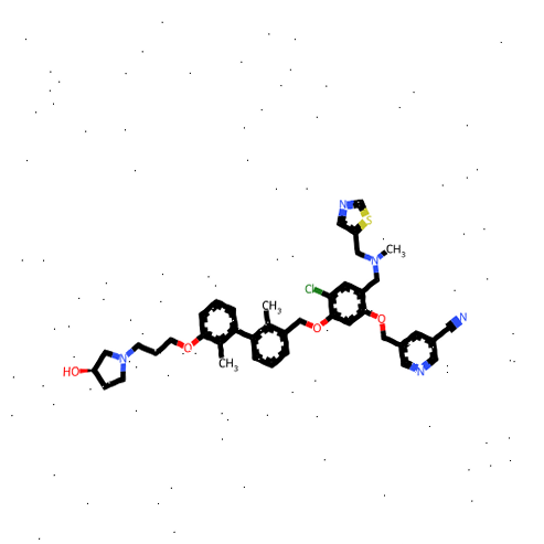 Cc1c(COc2cc(OCc3cncc(C#N)c3)c(CN(C)Cc3cncs3)cc2Cl)cccc1-c1cccc(OCCCN2CC[C@@H](O)C2)c1C